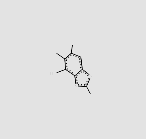 Oc1nc2cc(Cl)c(Cl)c(O)c2[nH]1